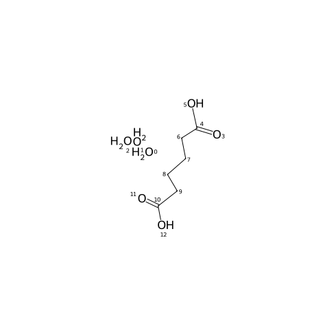 O.O.O.O=C(O)CCCCC(=O)O